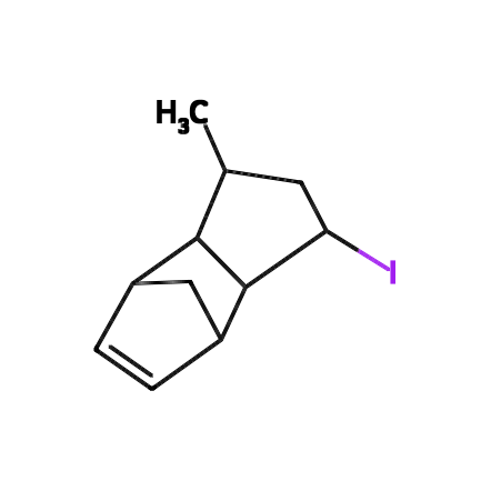 CC1CC(I)C2C3C=CC(C3)C12